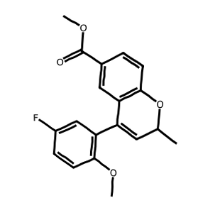 COC(=O)c1ccc2c(c1)C(c1cc(F)ccc1OC)=CC(C)O2